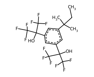 CCC(C)(C)c1cc(C(O)(C(F)(F)F)C(F)(F)F)cc(C(O)(C(F)(F)F)C(F)(F)F)c1